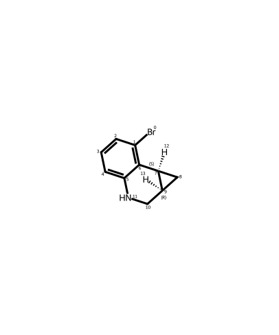 Brc1cccc2c1[C@H]1C[C@H]1CN2